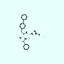 COC(=O)c1csc(NC(=O)C(Cc2ccc(-c3ccccc3)cc2)N2C(=O)NC(c3ccccc3)C2=O)n1